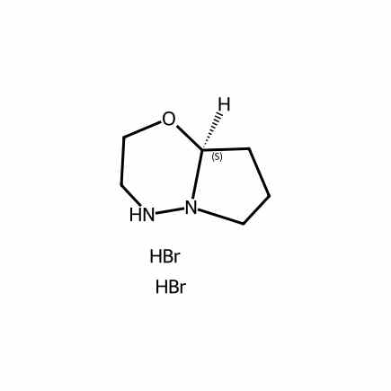 Br.Br.C1C[C@@H]2OCCNN2C1